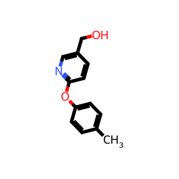 Cc1ccc(Oc2ccc(CO)cn2)cc1